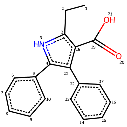 CCc1[nH]c(-c2ccccc2)c(-c2ccccc2)c1C(=O)O